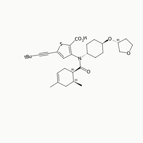 CC1=CC[C@@H](C(=O)N(c2cc(C#CC(C)(C)C)sc2C(=O)O)[C@H]2CC[C@H](O[C@@H]3CCOC3)CC2)[C@@H](C)C1